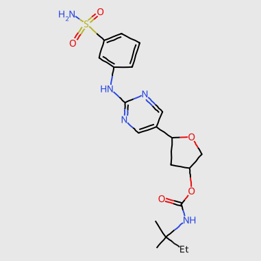 CCC(C)(C)NC(=O)OC1COC(c2cnc(Nc3cccc(S(N)(=O)=O)c3)nc2)C1